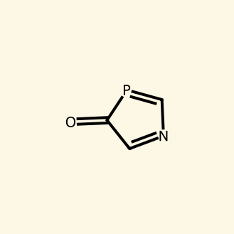 O=C1C=NC=P1